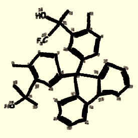 Cc1ccc(C2(c3ccc(C)c(C(C)(O)C(F)(F)F)c3)c3ccccc3-c3ccccc32)cc1C(C)(C)O